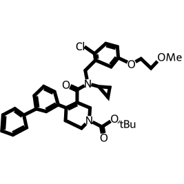 COCCOc1ccc(Cl)c(CN(C(=O)C2=C(c3cccc(-c4ccccc4)c3)CCN(C(=O)OC(C)(C)C)C2)C2CC2)c1